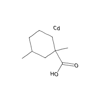 CC1CCCC(C)(C(=O)O)C1.[Cd]